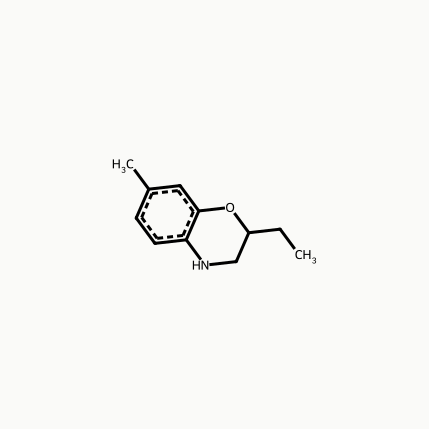 CCC1CNc2ccc(C)cc2O1